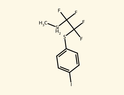 C[SiH2]C(F)(F)C(F)(F)Sc1ccc(I)cc1